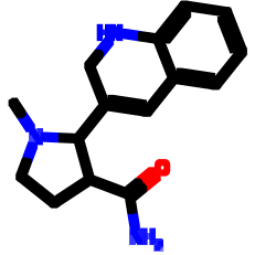 CN1CCC(C(N)=O)C1C1=Cc2ccccc2NC1